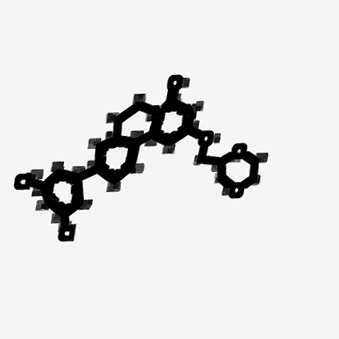 O=c1nc(OCC2COCCO2)cc2n1CCc1cc(-c3cc(Cl)cc(Cl)c3)ccc1-2